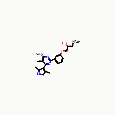 CNCC(O)COc1cccc(-c2nc(SC)c(C)c(C3=C(C)CN=C3C)n2)c1